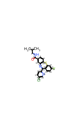 CC(C)CNC(=O)c1ccc2c(c1)N=C(c1ccc(Cl)cn1)c1ccc(F)cc1S2